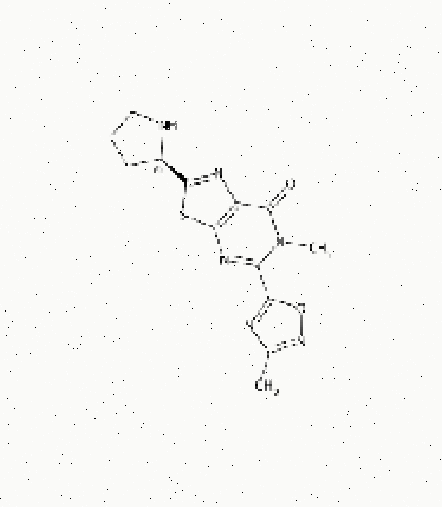 Cc1noc(-c2nc3sc([C@H]4CCCN4)nc3c(=O)n2C)n1